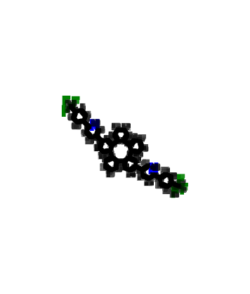 FC(F)(F)c1ccc(-c2ccc(-c3ccc4c5ccccc5c5ccc(-c6ccc(-c7ccc(C(F)(F)F)cc7)nc6)cc5c5ccccc5c5ccccc5c4c3)cn2)cc1